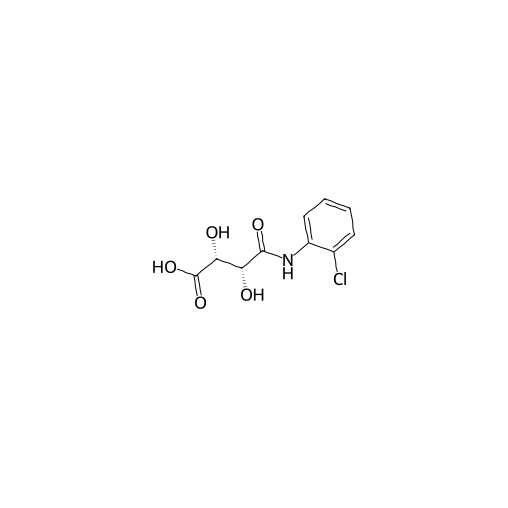 O=C(O)[C@H](O)[C@@H](O)C(=O)Nc1ccccc1Cl